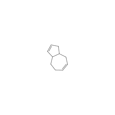 C1=CCC2CC=CC2CC1